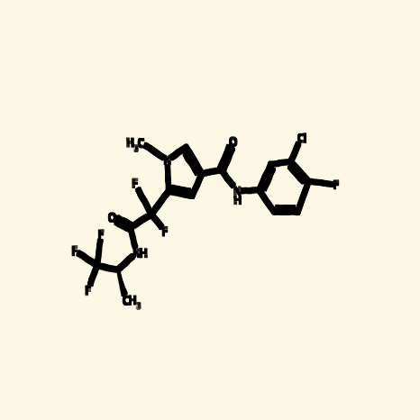 C[C@H](NC(=O)C(F)(F)c1cc(C(=O)Nc2ccc(F)c(Cl)c2)cn1C)C(F)(F)F